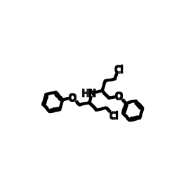 ClCCC(COc1ccccc1)NC(CCCl)COc1ccccc1